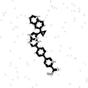 CNC(=O)c1ccc(-c2ccc(-c3cnc4ncc(C5(c6ccc7ncccc7c6)CC5)n4n3)cc2)cn1